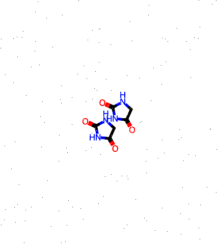 O=C1CNC(=O)N1.O=C1CNC(=O)N1